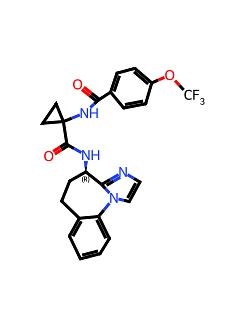 O=C(NC1(C(=O)N[C@@H]2CCc3ccccc3-n3ccnc32)CC1)c1ccc(OC(F)(F)F)cc1